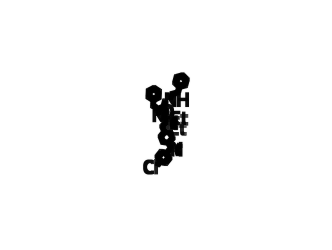 CCN(CC)C(CC1CCC(C(c2ccc(Cl)cc2)N(C)C)CC1)c1nc(Cc2ccccc2)c(CNCCc2ccccc2)o1